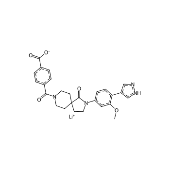 COc1cc(N2CCC3(CCN(C(=O)c4ccc(C(=O)[O-])cc4)CC3)C2=O)ccc1-c1cn[nH]c1.[Li+]